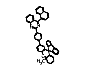 CC12CC=CC=C1C1(c3cc(-c4ccc(-c5nc(-c6cccc7ccccc67)c6ccccc6n5)cc4)ccc3O2)c2ccccc2-c2ccccc21